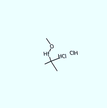 C[O][Hf][C](C)(C)C.Cl.Cl